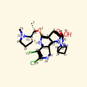 Cc1cc2c(O[C@@H](C)[C@@H]3CCCN3C)nc3c(F)c(Cl)ncc3c2n1C1C2CC1N(C(=O)O)C2